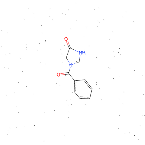 O=C1CN(C(=O)c2ccccc2)CN1